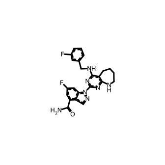 NC(=O)c1cc(F)cc2c1cnn2-c1nc2c(c(NCc3cccc(F)c3)n1)CCCCN2